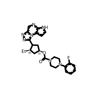 CC[C@@H]1C[C@H](OC(=O)N2CCN(c3ccccc3F)CC2)CC1c1nnc2cnc3[nH]ccc3n12